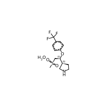 CS(=O)(=O)C[C@@H](Oc1ccc(C(F)(F)F)cc1)[C@H]1CCNC1.O